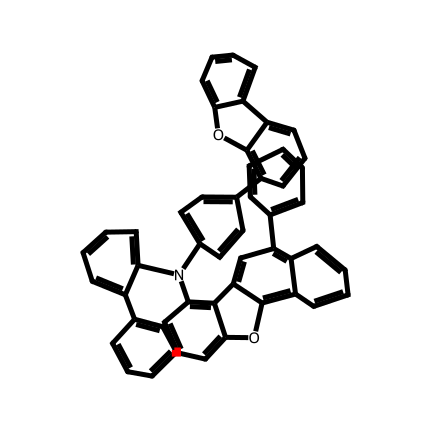 c1ccc(-c2ccccc2N(c2ccc(-c3cccc4c3oc3ccccc34)cc2)c2cccc3oc4c5ccccc5c(-c5ccccc5)cc4c23)cc1